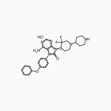 Cl.Nc1ncnc2c1n(-c1ccc(Oc3ccccc3)cc1)c(=O)n2[C@@H]1CCN(C2CCNCC2)CC1(F)F